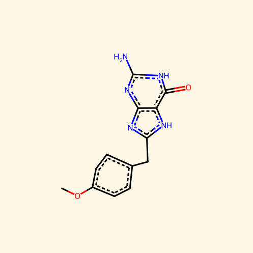 COc1ccc(Cc2nc3nc(N)[nH]c(=O)c3[nH]2)cc1